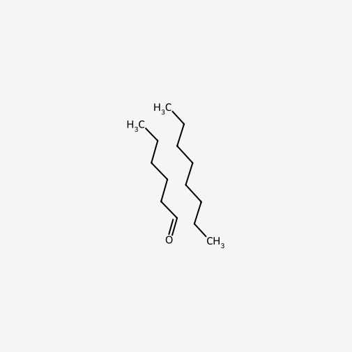 CCCCCC=O.CCCCCCCC